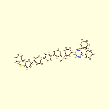 CC1(C)C2=C(CCC(C3=CC=C(c4ccc(-c5ccc6sc7ccccc7c6c5)cc4)CC3)=C2)c2ccc(-c3cnc4c5ccccc5c5ccccc5c4n3)cc21